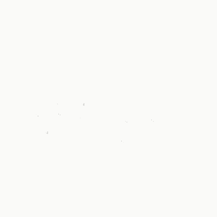 O=C(NC(Cc1ccccc1Cl)C(=O)Nc1ncc[nH]1)c1ccc2[nH]c(-c3cc4ccccc4cn3)nc2c1